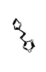 C(=Cc1cccs1)c1ncon1